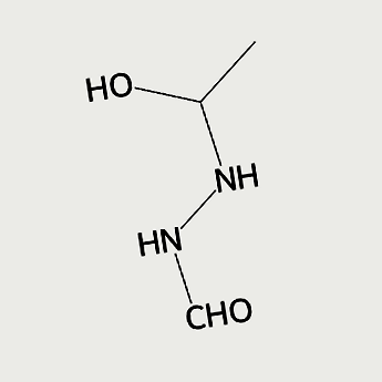 CC(O)NNC=O